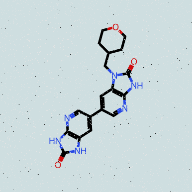 O=c1[nH]c2cc(-c3cnc4[nH]c(=O)n(CC5CCOCC5)c4c3)cnc2[nH]1